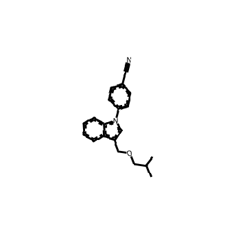 CC(C)COCc1cn(-c2ccc(C#N)cc2)c2ccccc12